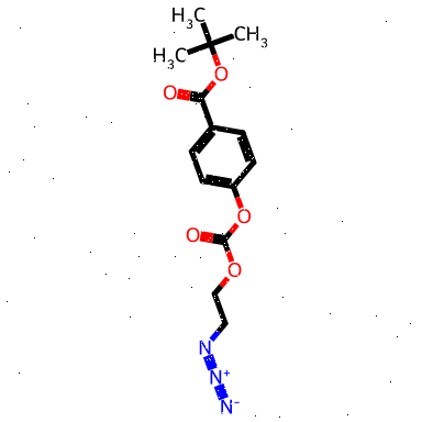 CC(C)(C)OC(=O)c1ccc(OC(=O)OCCN=[N+]=[N-])cc1